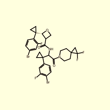 O=C(NC(C(=O)N1CCC2(CC1)CC2(F)F)C1(c2ccc(Br)c(F)c2)CC1)C1CO[C@H]1C1(c2ccc(Br)cc2F)CC1